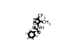 Cc1c(C(F)(F)F)noc1NS(=O)(=O)c1ccccc1